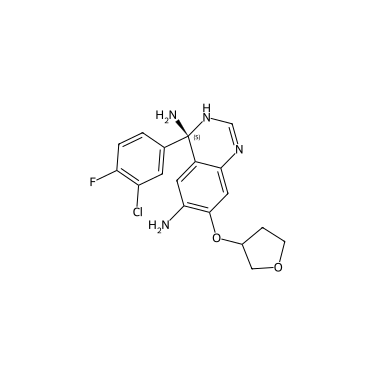 Nc1cc2c(cc1OC1CCOC1)N=CN[C@@]2(N)c1ccc(F)c(Cl)c1